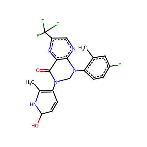 CC1=C(N2CN(c3ccc(F)cc3C)c3ncc(C(F)(F)F)nc3C2=O)C=CC(O)N1